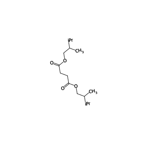 CC(C)C(C)COC(=O)CCC(=O)OCC(C)C(C)C